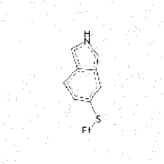 CCSc1ccc2c[nH]cc2c1